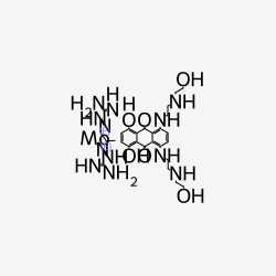 CC(/C=N/NC(=N)N)=N\NC(=N)N.O=C1c2c(O)ccc(O)c2C(=O)c2c(NCCNCCO)ccc(NCCNCCO)c21.[Mo]